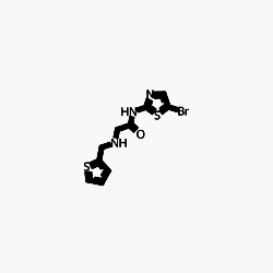 O=C(CNCc1cccs1)Nc1ncc(Br)s1